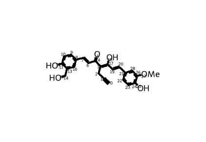 C#CC/C(C(=O)/C=C/c1ccc(O)c(CO)c1)=C(O)\C=C\c1ccc(O)c(OC)c1